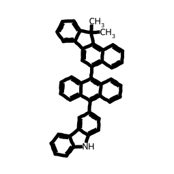 CC1(C)c2ccccc2-c2cc(-c3c4ccccc4c(-c4ccc5[nH]c6ccccc6c5c4)c4ccccc34)c3ccccc3c21